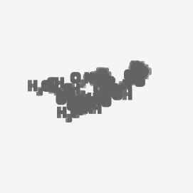 CN(C)CCCNC(=O)c1cc(NC(=O)c2cc(NC(=O)CCCNC(=O)c3cc(C(=O)NCCNCCN4C(=O)c5cccc6cccc(c56)C4=O)cc(N4C(=O)c5cccc6cc([N+](=O)[O-])cc(c56)C4=O)c3)cn2C)cn1C